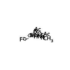 CC(=O)c1sc(NC(=O)N[C@H]2CN(C(C)=O)CC[C@H]2CN2CCC[C@@H](Cc3ccc(F)cc3)C2)nc1C